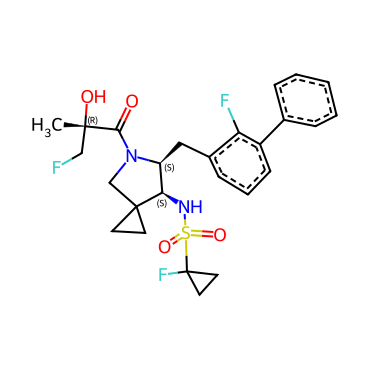 C[C@](O)(CF)C(=O)N1CC2(CC2)[C@H](NS(=O)(=O)C2(F)CC2)[C@@H]1Cc1cccc(-c2ccccc2)c1F